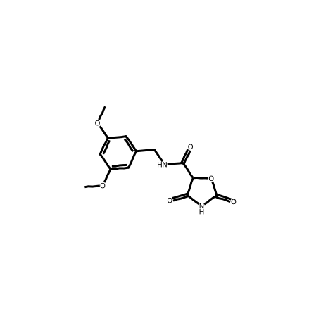 COc1cc(CNC(=O)C2OC(=O)NC2=O)cc(OC)c1